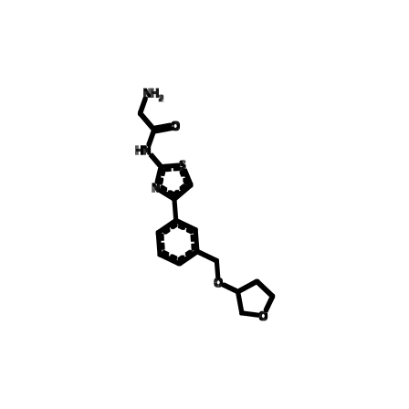 NCC(=O)Nc1nc(-c2cccc(COC3CCOC3)c2)cs1